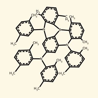 Cc1ccc(C)c(N(c2cc3c4c(c2)N(c2cc(C)ccc2C)c2c(C)ccc(C)c2B4c2c(C)ccc(C)c2N3c2cc(C)ccc2C)c2cc(C)ccc2C)c1